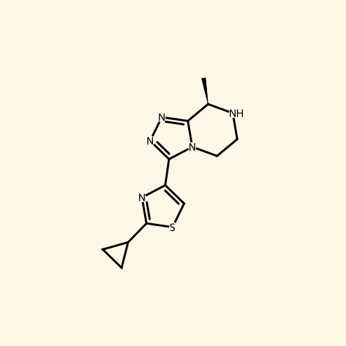 C[C@H]1NCCn2c(-c3csc(C4CC4)n3)nnc21